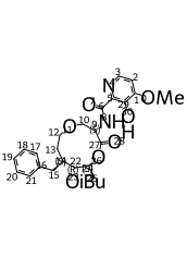 COc1ccnc(C(=O)N[C@H]2COCC[C@H](Cc3ccccc3)[C@@H](OCC(C)C)[C@H](C)OC2=O)c1O